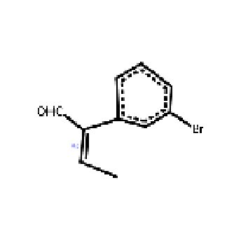 C/C=C(/C=O)c1cccc(Br)c1